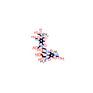 Cc1c(NC(=O)CO)c(I)c(C(=O)N(C)CC(O)CO)c(I)c1C(=O)N(CCO)CCN(CCO)C(=O)c1c(I)c(NC(=O)CO)c(I)c(C(=O)N(C)CC(O)CO)c1I